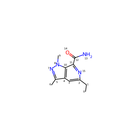 CCc1cc2c(C)nn(C)c2c(C(N)=O)n1